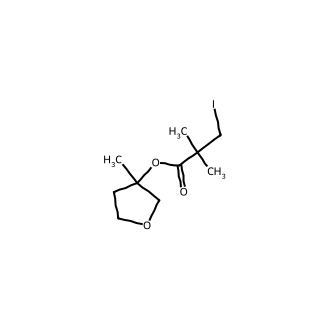 CC1(OC(=O)C(C)(C)CI)CCOC1